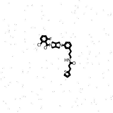 O=C(CCc1cccs1)NCCCc1cccc(N2CC3CN(C(=O)c4c(F)cccc4Cl)CC3C2)c1